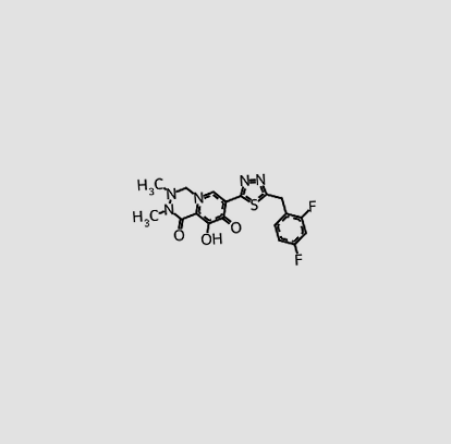 CN1Cn2cc(-c3nnc(Cc4ccc(F)cc4F)s3)c(=O)c(O)c2C(=O)N1C